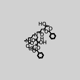 CN(CCCN(C[C@H](O)C[C@@H]1OC(c2ccccc2)OC[C@H]1O)C[C@H](O)[C@@H](O)[C@H]1CCOC(c2ccccc2)O1)C(=O)OC(C)(C)C